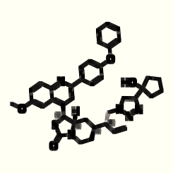 C=C[C@@H](Cn1cc(C2(O)CCCC2)nn1)[C@H]1CCN2C(=O)S[C@@H](c3cc(-c4ccc(Oc5ccccc5)cc4)nc4ccc(OC)cc34)[C@@H]2C1